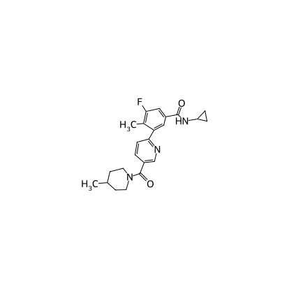 Cc1c(F)cc(C(=O)NC2CC2)cc1-c1ccc(C(=O)N2CCC(C)CC2)cn1